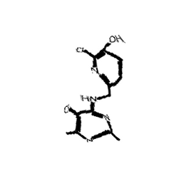 Cc1nc(C)c(Cl)c(NCc2ccc(O)c(Cl)n2)n1